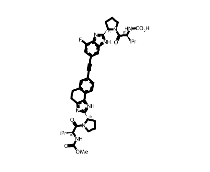 COC(=O)N[C@H](C(=O)N1CCC[C@H]1c1nc2c([nH]1)-c1ccc(C#Cc3cc(F)c4nc([C@@H]5CCCN5C(=O)[C@@H](NC(=O)O)C(C)C)[nH]c4c3)cc1CC2)C(C)C